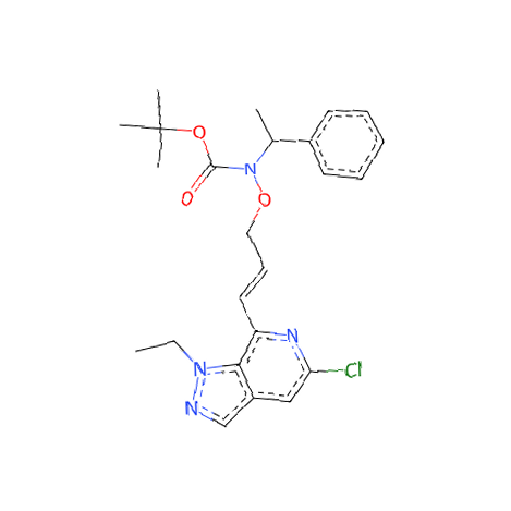 CCn1ncc2cc(Cl)nc(C=CCON(C(=O)OC(C)(C)C)C(C)c3ccccc3)c21